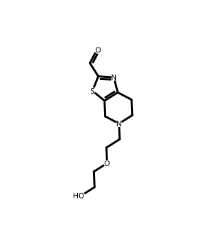 O=Cc1nc2c(s1)CN(CCOCCO)CC2